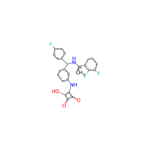 C[C@@H](NC(c1ccc(F)cc1)c1cccc(Nc2c(O)c(=O)c2=O)c1)c1cccc(F)c1F